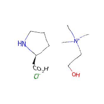 C[N+](C)(C)CCO.O=C(O)[C@@H]1CCCN1.[Cl-]